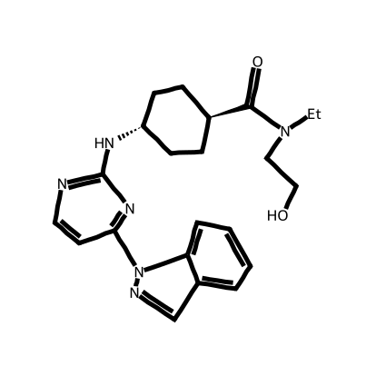 CCN(CCO)C(=O)[C@H]1CC[C@H](Nc2nccc(-n3ncc4ccccc43)n2)CC1